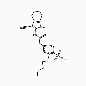 COCCOc1cc(CC(=O)NC2=C(C#N)C3=C(CCNC3)[SH]2C)ccc1S(N)(=O)=O